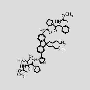 CCCCC1(CCCC)c2cc(NC(=O)[C@@H]3CCCN3C(=O)[C@H](NC(=O)OC)c3ccccc3)ccc2-c2ccc(-c3cnc([C@@H]4CCCN4C(=O)C(C)(NC(=O)OC)C(C)C)[nH]3)cc21